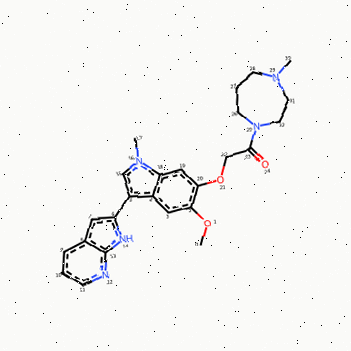 COc1cc2c(-c3cc4cccnc4[nH]3)cn(C)c2cc1OCC(=O)N1CCCN(C)CC1